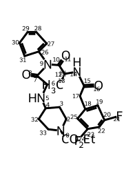 CCOC(=O)N1CCC(NCC(=O)N(C(=O)[C@H](C)NC(=O)Cc2cc(F)cc(F)c2)c2ccccc2)CC1